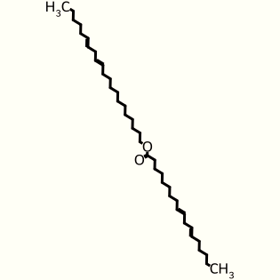 CCCCCC=CCC=CCCCCCCCCCCCOC(=O)CCCCCCCC=CCC=CCCCCC